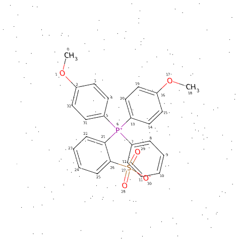 COc1ccc([P+](c2ccccc2)(c2ccc(OC)cc2)c2ccccc2S(=O)(=O)[O-])cc1